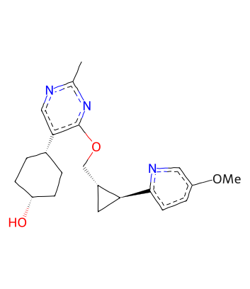 COc1ccc([C@H]2C[C@@H]2COc2nc(C)ncc2[C@H]2CC[C@@H](O)CC2)nc1